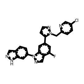 Fc1cc(-c2ccnn2Cc2ccc(Cl)cn2)cc2c1cnn2-c1ccc2cn[nH]c2c1